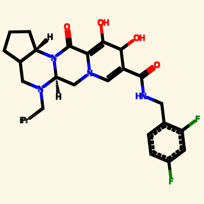 CC(C)CN1CC2CCC[C@@H]2N2C(=O)C3=C(O)C(O)C(C(=O)NCc4ccc(F)cc4F)=CN3C[C@@H]12